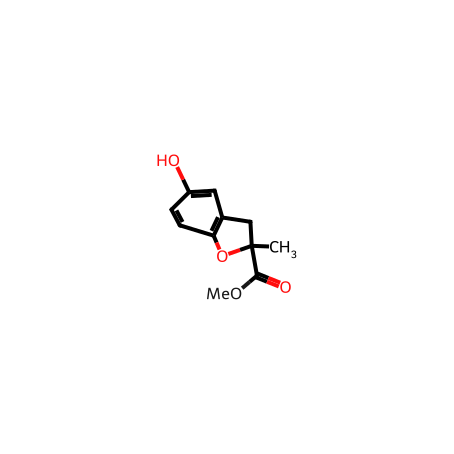 COC(=O)C1(C)Cc2cc(O)ccc2O1